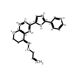 C=CCO/N=C1\CCOc2nnc(-c3cnc(-c4cccnc4)s3)nc21